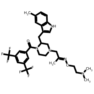 C/C(CN1CCN(C(=O)c2cc(C(F)(F)F)cc(C(F)(F)F)c2)C(Cc2c[nH]c3ccc(C)cc23)C1)=N\OCCN(C)C